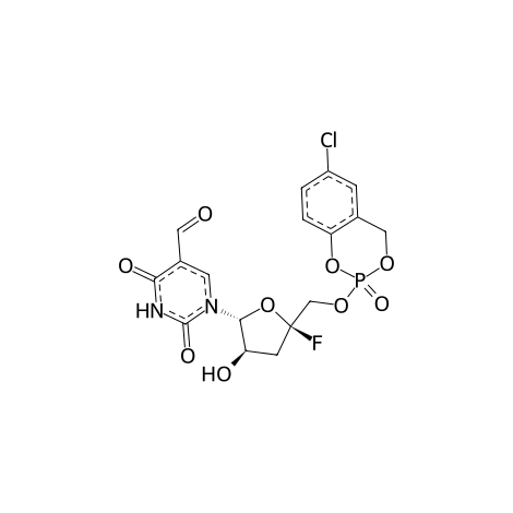 O=Cc1cn([C@@H]2O[C@](F)(COP3(=O)OCc4cc(Cl)ccc4O3)C[C@H]2O)c(=O)[nH]c1=O